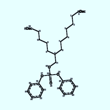 CCCCCCCCCCCCCCCCC(CCCCCCCCCCCCCC)COP(=O)(Oc1ccccc1)Oc1ccccc1